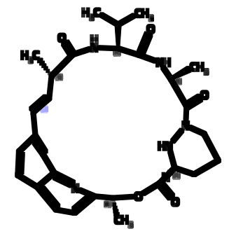 CC(C)[C@@H]1NC(=O)[C@@H](C)/C=C/c2ccc3ccc(nc3c2)[C@@H](C)OC(=O)[C@@H]2CCCN(N2)C(=O)[C@H](C)NC1=O